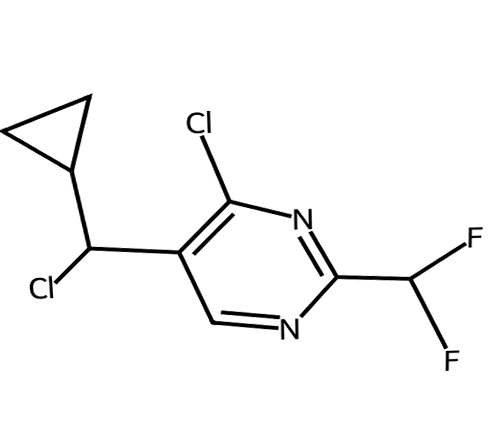 FC(F)c1ncc(C(Cl)C2CC2)c(Cl)n1